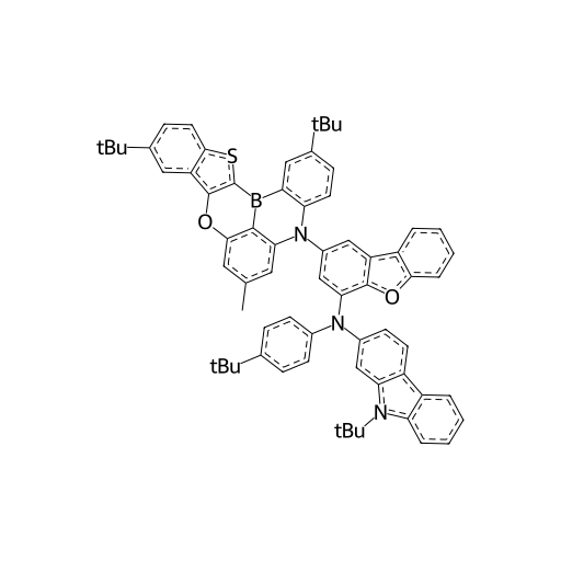 Cc1cc2c3c(c1)N(c1cc(N(c4ccc(C(C)(C)C)cc4)c4ccc5c6ccccc6n(C(C)(C)C)c5c4)c4oc5ccccc5c4c1)c1ccc(C(C)(C)C)cc1B3c1sc3ccc(C(C)(C)C)cc3c1O2